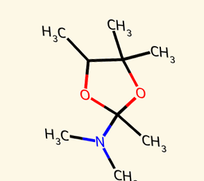 CC1OC(C)(N(C)C)OC1(C)C